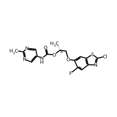 Cc1ncc(NC(=O)O[C@H](C)COc2cc3sc(Cl)nc3cc2F)cn1